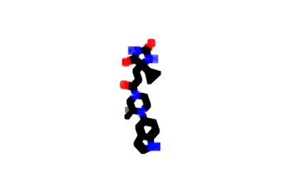 C[C@H]1CN(C(=O)CCC2(C3CC3)NC(=O)NC2=O)CCN1c1ccc2[nH]ccc2c1